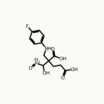 O=[PH2]C(O)C(CCC(=O)O)(CNc1ccc(F)cc1)C(=O)O